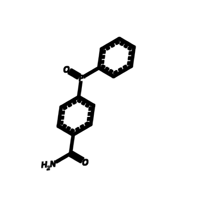 NC(=O)c1ccc([P](=O)c2ccccc2)cc1